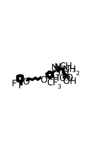 C[C@](N)(COP(=O)(O)O)c1nnc(-c2ccc(OCCCCCOc3cccc(F)c3F)c(C(F)(F)F)c2)s1